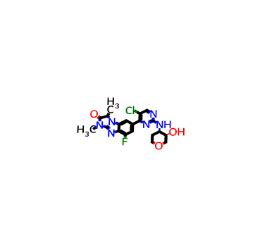 CC1C(=O)N(C)c2nc3c(F)cc(-c4nc(N[C@@H]5CCOC[C@H]5O)ncc4Cl)cc3n21